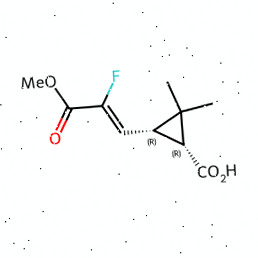 COC(=O)C(F)=C[C@H]1[C@@H](C(=O)O)C1(C)C